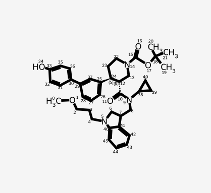 COCCCN1CC(CN(C(=O)[C@H]2CN(C(=O)OC(C)(C)C)CC[C@@H]2c2cccc(-c3ccc(O)cc3)c2)C2CC2)c2ccccc21